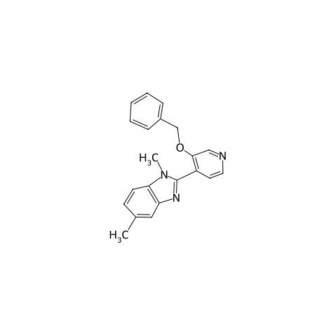 Cc1ccc2c(c1)nc(-c1ccncc1OCc1ccccc1)n2C